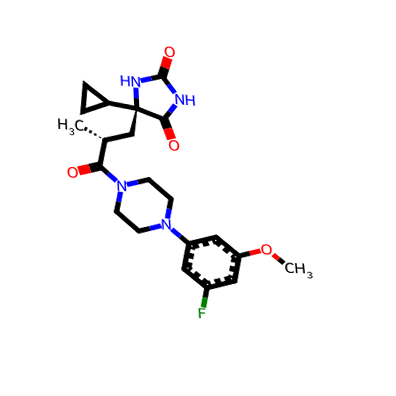 COc1cc(F)cc(N2CCN(C(=O)[C@H](C)C[C@@]3(C4CC4)NC(=O)NC3=O)CC2)c1